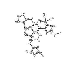 CCn1cc(-c2cc(CN3CCOC3=N)cc3c2CCN(Cc2cn(C)nc2C)C3=O)c(C(F)(F)F)n1